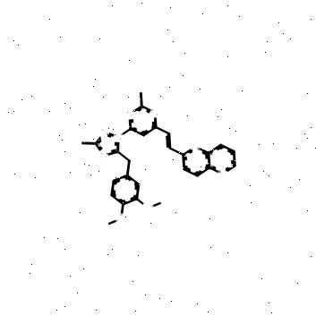 COc1ccc(Cc2nc(C)nn2-c2cc(C=Cc3ccc4ncccc4n3)nc(C)n2)cc1OC